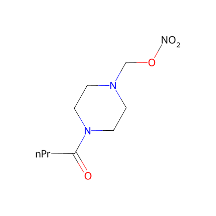 CCCC(=O)N1CCN(CO[N+](=O)[O-])CC1